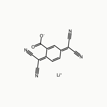 N#CC(C#N)=c1ccc(=C(C#N)C#N)c(C(=O)[O-])c1.[Li+]